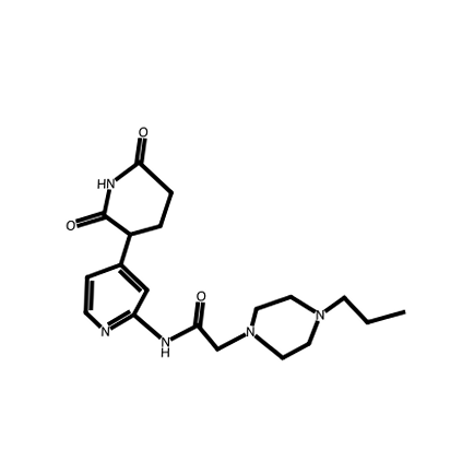 CCCN1CCN(CC(=O)Nc2cc(C3CCC(=O)NC3=O)ccn2)CC1